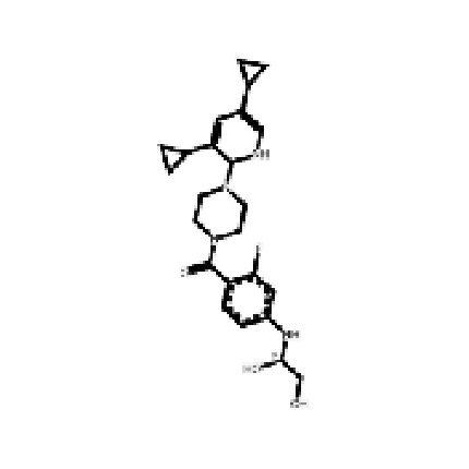 O=C(c1ccc(N[C@H](O)CO)cc1F)N1CCN(C2NC=C(C3CC3)C=C2C2CC2)CC1